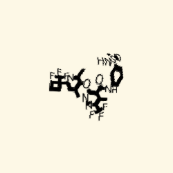 Cc1cc(C2(C(F)(F)F)CCC2)nc(C)c1Oc1nnc(C(F)(F)F)c(C)c1C(=O)Nc1cccc(S(C)(=N)=O)c1